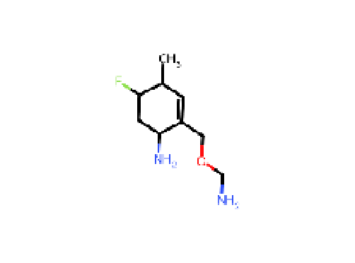 CC1C=C(COCN)C(N)CC1F